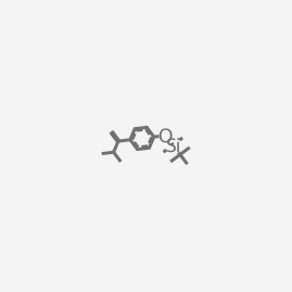 C=C(c1ccc(O[Si](C)(C)C(C)(C)C)cc1)C(C)C